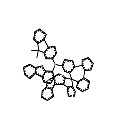 CC1(C)c2ccccc2-c2ccc(N(c3ccc4c(c3)C3(c5ccccc5-c5ccccc5-4)c4ccccc4-c4c3ccc3sc5ccccc5c43)c3cccc4c3oc3ccccc34)cc21